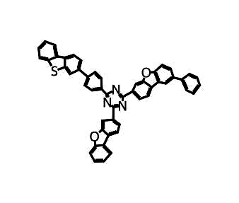 c1ccc(-c2ccc3oc4cc(-c5nc(-c6ccc(-c7ccc8c(c7)sc7ccccc78)cc6)nc(-c6ccc7c(c6)oc6ccccc67)n5)ccc4c3c2)cc1